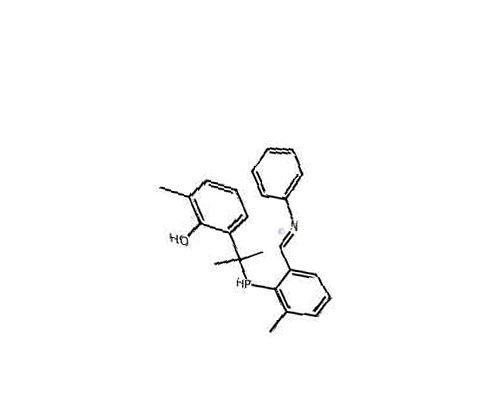 Cc1cccc(C(C)(C)Pc2c(C)cccc2/C=N/c2ccccc2)c1O